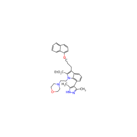 CCOC(=O)c1c(CCCOc2cccc3ccccc23)c2cccc(-c3c(C)n[nH]c3C)c2n1CCN1CCOCC1